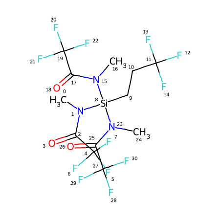 CN(C(=O)C(F)(F)F)[Si](CCC(F)(F)F)(N(C)C(=O)C(F)(F)F)N(C)C(=O)C(F)(F)F